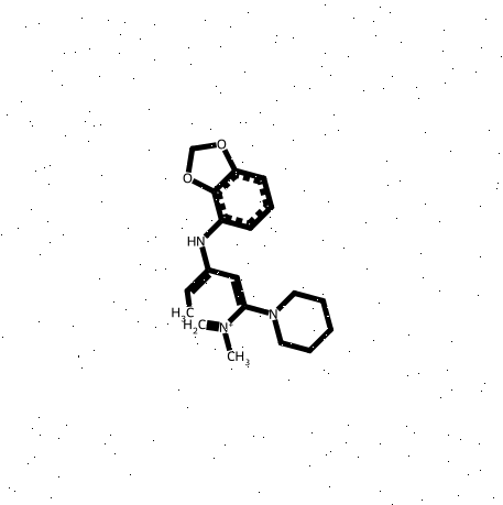 C=[N+](C)/C(=C\C(=C/C)Nc1cccc2c1OCO2)N1CCCCC1